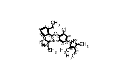 CCc1cccc(-n2nnn(C)c2=O)c1COc1ccc(-n2nc(C)c(CC)c2C)cc1Cl